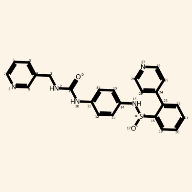 O=C(NCc1cccnc1)Nc1ccc(N[S+]([O-])c2ccccc2-c2ccncc2)cc1